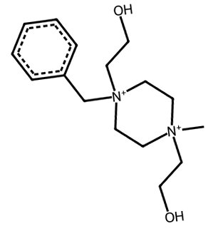 C[N+]1(CCO)CC[N+](CCO)(Cc2ccccc2)CC1